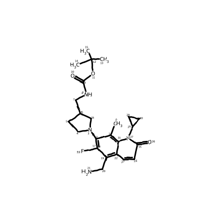 Cc1c(N2CCC(CNC(=O)OC(C)(C)C)C2)c(F)c(CN)c2ccc(=O)n(C3CC3)c12